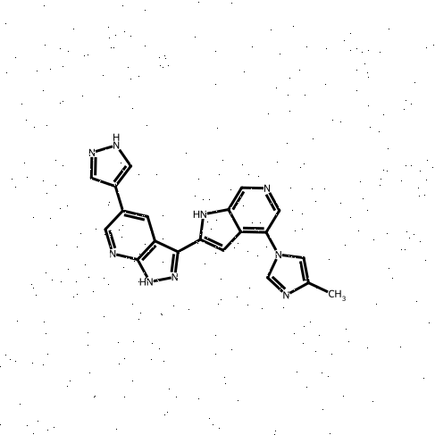 Cc1cn(-c2cncc3[nH]c(-c4n[nH]c5ncc(-c6cn[nH]c6)cc45)cc23)cn1